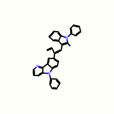 C=C/C(=C\c1c(C)n(-c2ccccc2)c2ccccc12)c1ccc2c(c1)c1ncccc1n2-c1ccccc1